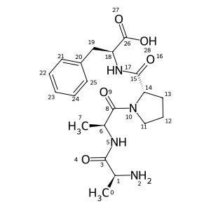 C[C@H](N)C(=O)N[C@@H](C)C(=O)N1CCC[C@H]1C(=O)N[C@@H](Cc1ccccc1)C(=O)O